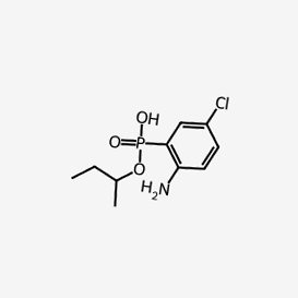 CCC(C)OP(=O)(O)c1cc(Cl)ccc1N